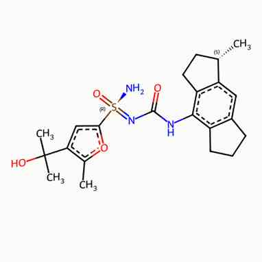 Cc1oc([S@](N)(=O)=NC(=O)Nc2c3c(cc4c2CC[C@@H]4C)CCC3)cc1C(C)(C)O